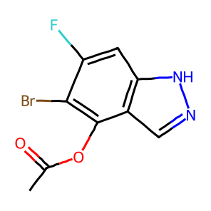 CC(=O)Oc1c(Br)c(F)cc2[nH]ncc12